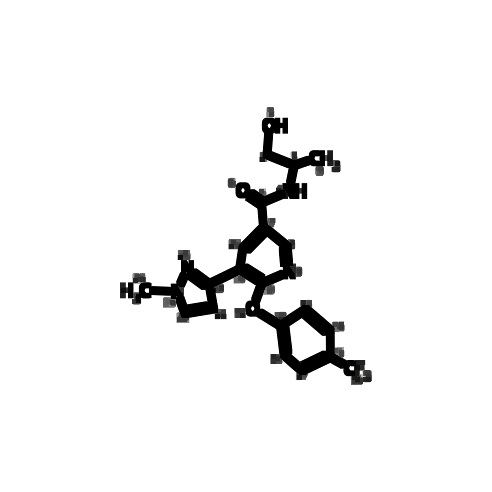 CC(CO)NC(=O)c1cnc(Oc2ccc(C(F)(F)F)cc2)c(-c2ccn(C)n2)c1